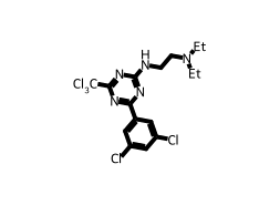 CCN(CC)CCNc1nc(-c2cc(Cl)cc(Cl)c2)nc(C(Cl)(Cl)Cl)n1